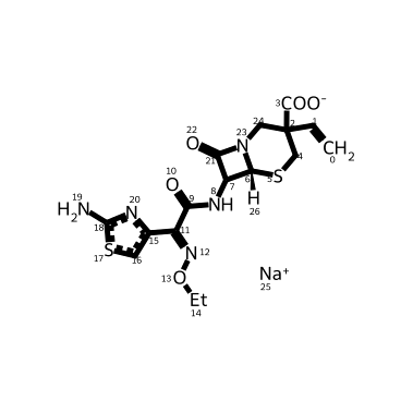 C=CC1(C(=O)[O-])CS[C@@H]2C(NC(=O)C(=NOCC)c3csc(N)n3)C(=O)N2C1.[Na+]